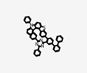 c1ccc(-c2nc(-c3ccccc3)nc(-c3cc(-c4ccccc4-c4ccccc4)ccc3-c3ccc4c(c3)sc3ccc5c(c6ccccc6n5-c5ccccc5)c34)n2)cc1